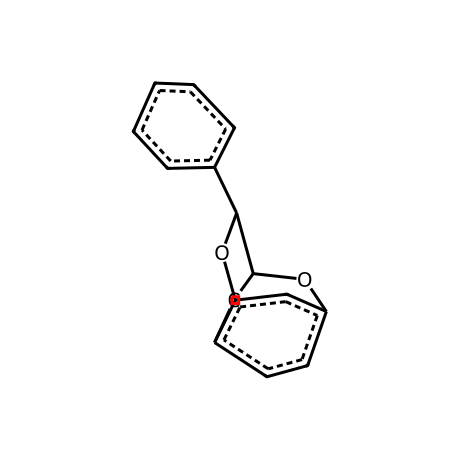 c1ccc(C2Oc3cc4ccc3CC2O4)cc1